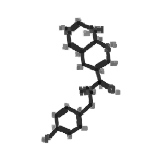 O=C(NCc1ccc(F)cc1)C1=CSC2NC=NC=C2C1